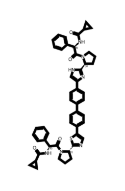 O=C(N[C@@H](C(=O)N1CCC[C@H]1c1nc(-c2ccc(-c3ccc(-c4cnc([C@@H]5CCCN5C(=O)[C@H](NC(=O)C5CC5)c5ccccc5)s4)cc3)cc2)c[nH]1)c1ccccc1)C1CC1